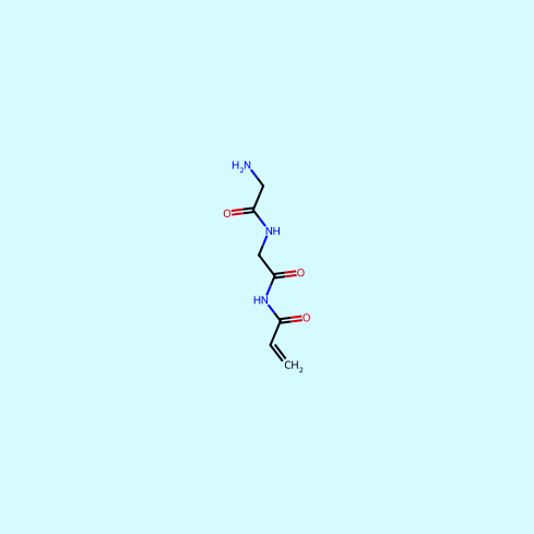 C=CC(=O)NC(=O)CNC(=O)CN